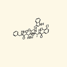 CCCC[C@H](NC(=O)[C@H](Cc1c[nH]c2ccccc12)NC(=O)[C@H](C)NC(=O)c1cccc(Cl)c1Cl)C(O)C(=O)NCc1ccccc1